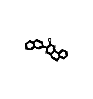 Clc1nc2c(ccc3ccccc32)nc1-c1ccc2ccccc2c1